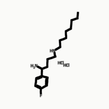 CCCCCCCCNCCCC(N)c1ccc(F)cc1.Cl.Cl